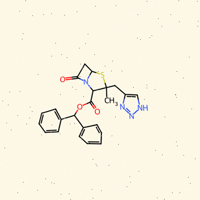 CC1(Cc2c[nH]nn2)SC2CC(=O)N2C1C(=O)OC(c1ccccc1)c1ccccc1